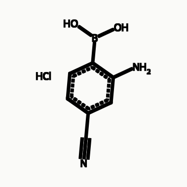 Cl.N#Cc1ccc(B(O)O)c(N)c1